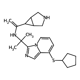 C=C(NC(C)(C)c1ncc2c(SC3CCCC3)cccn12)C1C2CNCC21